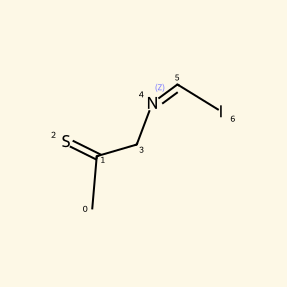 CC(=S)C/N=C\I